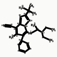 CCN(CC)C(C)Nc1c(-c2ccccc2)c(C)c(C#N)c2nc(C(C)(C)C)nn12